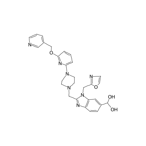 OC(O)c1ccc2nc(CN3CCN(c4cccc(OCc5cccnc5)n4)CC3)n(Cc3ncco3)c2c1